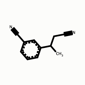 CC(CC#N)c1cccc(C#N)c1